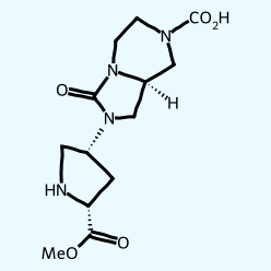 COC(=O)[C@H]1C[C@@H](N2C[C@@H]3CN(C(=O)O)CCN3C2=O)CN1